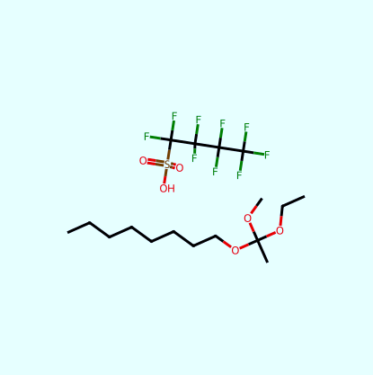 CCCCCCCCOC(C)(OC)OCC.O=S(=O)(O)C(F)(F)C(F)(F)C(F)(F)C(F)(F)F